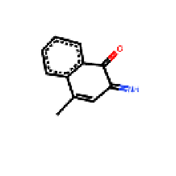 CC1=CC(=N)C(=O)c2ccccc21